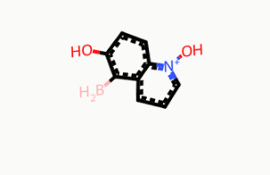 Bc1c(O)ccc2c1ccc[n+]2O